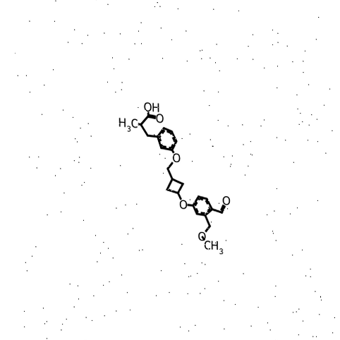 COCc1cc(OC2CC(COc3cccc(CC(C)C(=O)O)c3)C2)ccc1C=O